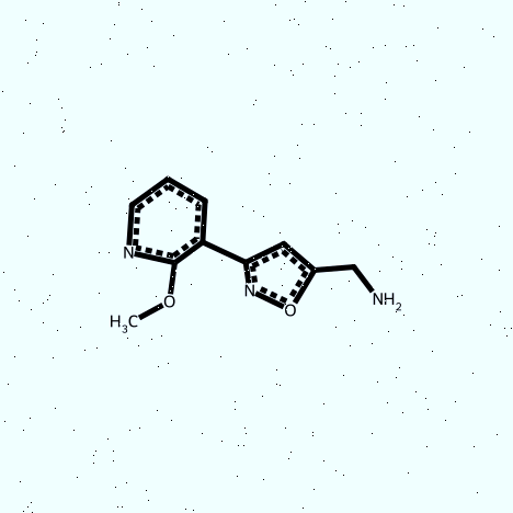 COc1ncccc1-c1cc(CN)on1